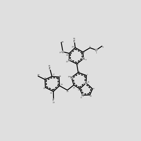 COCc1nc(-c2cn3ccnc3c(Cc3cc(F)c(C)cc3F)n2)nc(OC)c1F